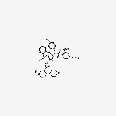 CCOc1ncccc1[C@]1(NC(=O)N2CC(C3CC(F)(F)CCN3C3CCNCC3)C2)C(=O)N(S(=O)(=O)c2ccc(OC)cc2OC)c2ccc(C#N)cc21